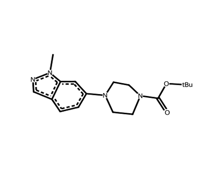 Cn1ncc2ccc(N3CCN(C(=O)OC(C)(C)C)CC3)cc21